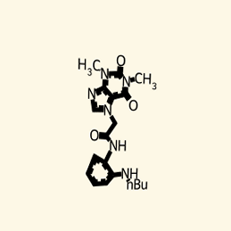 CCCCNc1ccccc1NC(=O)Cn1cnc2c1c(=O)n(C)c(=O)n2C